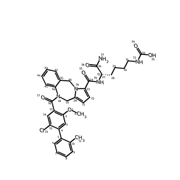 COc1cc(-c2ccccc2C)c(Cl)cc1C(=O)N1Cc2ccc(C(=O)N[C@@H](CCCCNC(=O)O)C(N)=O)n2Cc2ccccc21